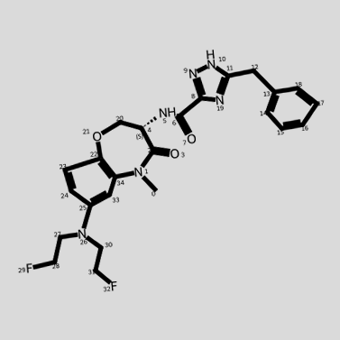 CN1C(=O)[C@@H](NC(=O)c2n[nH]c(Cc3ccccc3)n2)COc2ccc(N(CCF)CCF)cc21